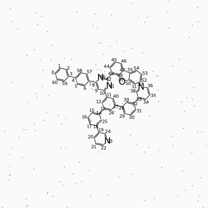 c1ccc(-c2ccc(-c3cc(-c4cc(-c5cccc(-c6cccnc6)c5)cc(-c5cccc(-c6cccnc6)c5)c4)nc(-c4cccc5c4oc4ccccc45)n3)cc2)cc1